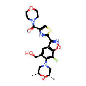 C[C@@H]1CN(c2c(CO)cc3c(-c4nc(C(=O)N5CCOCC5)cs4)noc3c2F)C[C@H](C)O1